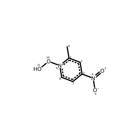 Cc1cc([N+](=O)[O-])cc[n+]1OO